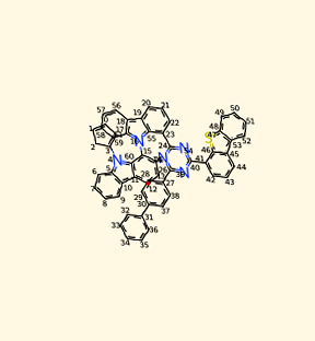 C1=CCC(n2c3ccccc3c3cccc(-n4c5c(c6cccc(-c7nc(-c8ccc(-c9ccccc9)cc8)nc(-c8cccc9c8sc8ccccc89)n7)c64)C=CCC5)c32)=C1